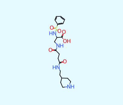 O=C(CCC(=O)NCC(NS(=O)(=O)c1ccccc1)C(=O)O)NCCC1CCNCC1